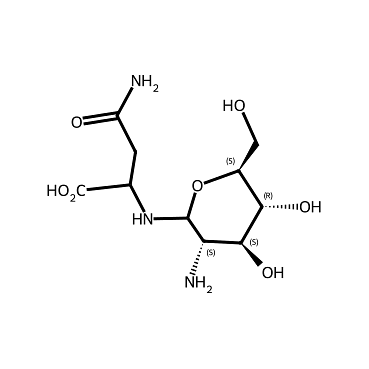 NC(=O)CC(NC1O[C@@H](CO)[C@H](O)[C@@H](O)[C@@H]1N)C(=O)O